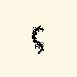 CCCCC(CC)CNC(=O)c1ccc(-c2ccc(-c3ccc(-c4ccc(C(=O)NCC(CC)CCCC)cc4)s3)s2)cc1